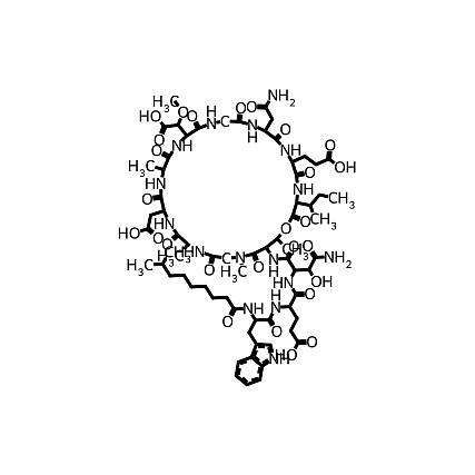 CCC(C)C1NC(=O)C(CCC(=O)O)NC(=O)C(CC(N)=O)NC(=O)CNC(=O)C(C(OC)C(=O)O)NC(=O)C(C)NC(=O)C(CC(=O)O)NC(=O)C(C)NC(=O)CN(C)C(=O)C(NC(=O)C(NC(=O)C(CCC(=O)O)NC(=O)C(Cc2c[nH]c3ccccc23)NC(=O)CCCCCCC(C)C)C(O)C(N)=O)C(C)OC1=O